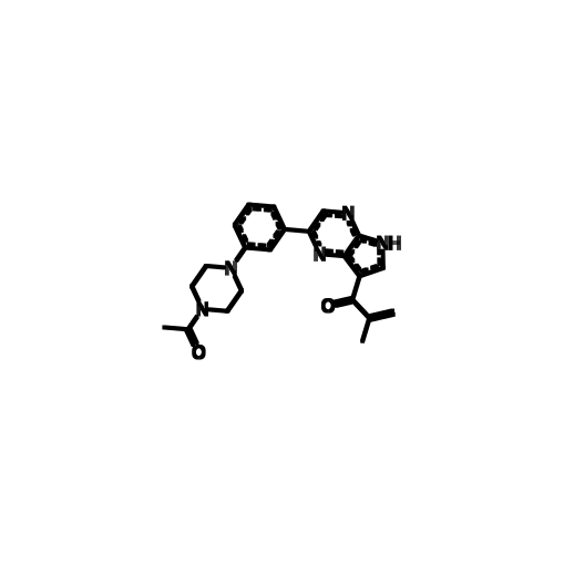 C=C(C)C(=O)c1c[nH]c2ncc(-c3cccc(N4CCN(C(C)=O)CC4)c3)nc12